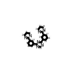 c1cnc(-c2cccc(-c3ncnc(-c4cccc(-c5ncccn5)c4)n3)c2)nc1